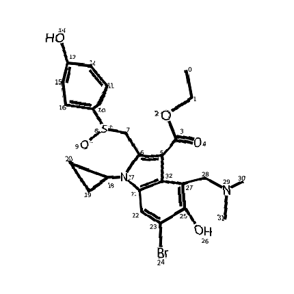 CCOC(=O)c1c(C[S+]([O-])c2ccc(O)cc2)n(C2CC2)c2cc(Br)c(O)c(CN(C)C)c12